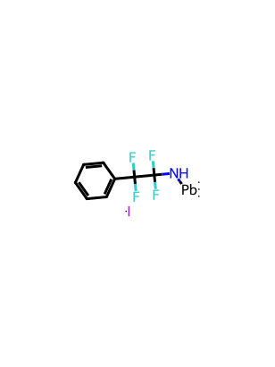 FC(F)([NH][Pb])C(F)(F)c1ccccc1.[I]